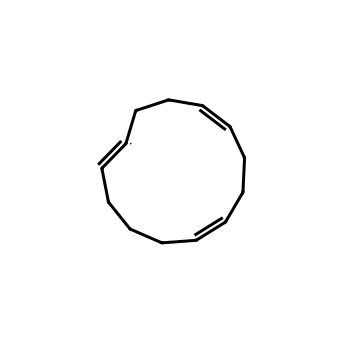 [C]1=C/CCC/C=C\CC/C=C\CC/1